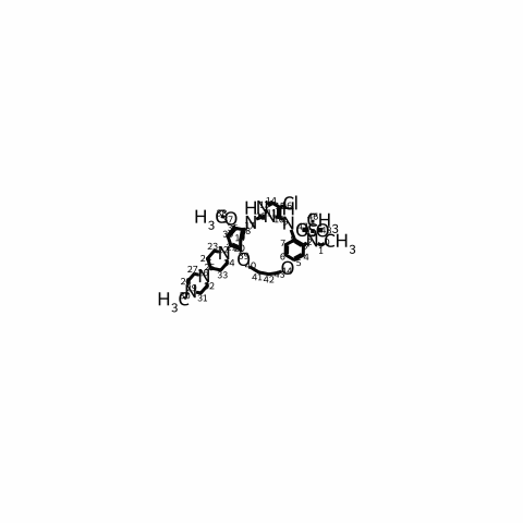 CCN(c1cc2ccc1Nc1nc(ncc1Cl)Nc1cc(c(N3CCC(N4CCN(C)CC4)CC3)cc1OC)OCCCCO2)S(C)(=O)=O